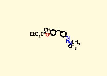 CCOC(=O)C(C)Oc1ccc(Cc2ccc(N=NN(C)C)cc2)cc1